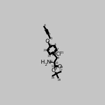 CC#CCOc1ccc(C[C@H](N)C(=O)OC(C)(C)C)cc1.Cl